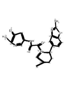 CCc1cc(NC(=O)C(=O)N2CC(C)CCC2c2ccc3sc(N)nc3c2)cnc1N